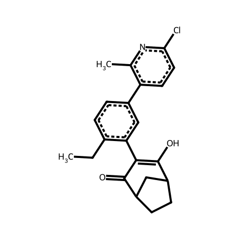 CCc1ccc(-c2ccc(Cl)nc2C)cc1C1=C(O)C2CCC(C2)C1=O